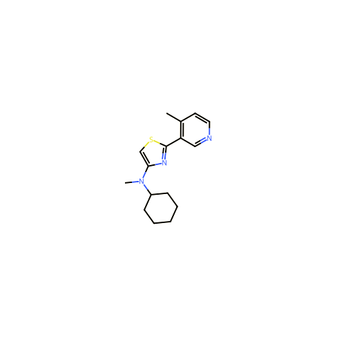 Cc1ccncc1-c1nc(N(C)C2CCCCC2)cs1